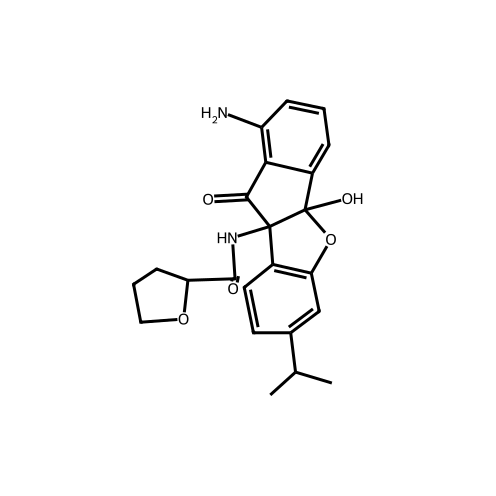 CC(C)c1ccc2c(c1)OC1(O)c3cccc(N)c3C(=O)C21NC(=O)C1CCCO1